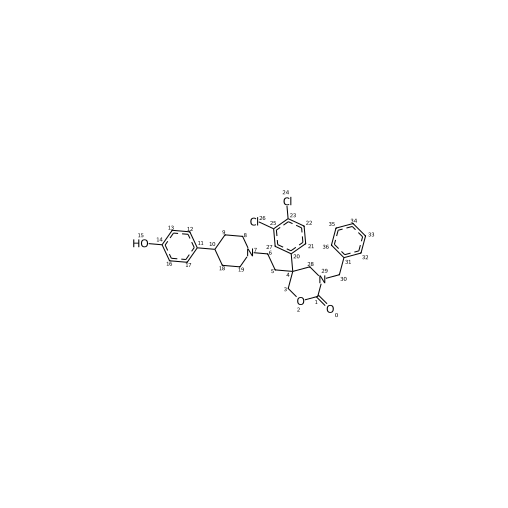 O=C1OCC(CCN2CCC(c3ccc(O)cc3)CC2)(c2ccc(Cl)c(Cl)c2)CN1Cc1ccccc1